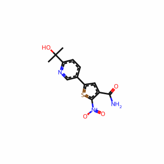 CC(C)(O)c1ccc(-c2cc(C(N)=O)c([N+](=O)[O-])s2)cn1